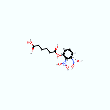 O=C(O)CCCCC(=O)Oc1cccc([N+](=O)[O-])c1[N+](=O)[O-]